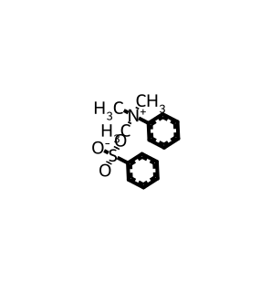 C[N+](C)(C)c1ccccc1.O=S(=O)([O-])c1ccccc1